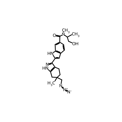 CC(CO)N(C)C(=O)c1ccc2cc(-c3n[nH]c4c3CCC(C)(CN=[N+]=[N-])C4)[nH]c2c1